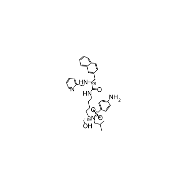 CC(C)CN([C@H](CO)CCCCNC(=O)[C@H](Cc1ccc2ccccc2c1)NCc1ccccn1)S(=O)(=O)c1ccc(N)cc1